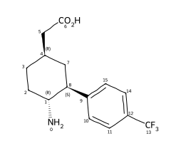 N[C@@H]1CC[C@@H](CC(=O)O)C[C@H]1c1ccc(C(F)(F)F)cc1